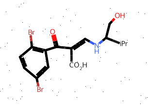 CC(C)C(CO)N/C=C(\C(=O)O)C(=O)c1cc(Br)ccc1Br